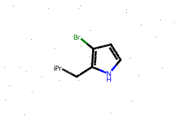 CC(C)Cc1[nH]ccc1Br